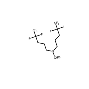 O=[C]N(CCCC(F)(F)C(F)(F)F)CCCC(F)(F)C(F)(F)F